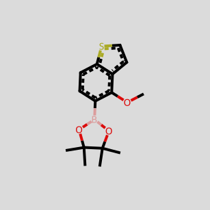 COc1c(B2OC(C)(C)C(C)(C)O2)ccc2sccc12